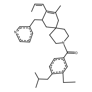 C/C=C\C1=C(C)CC2(CCN(C(=O)c3ccc(CC(C)C)c(CC)c3)CC2)CC1Cc1cccnc1